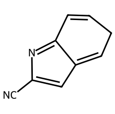 N#CC1=CC2=CCC=CC2=N1